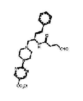 CCOC(=O)c1cnc(N2CCN(CC(/C=C/c3ccccc3)NC(=O)CCC=O)CC2)nc1